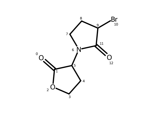 O=C1OCCC1N1CCC(Br)C1=O